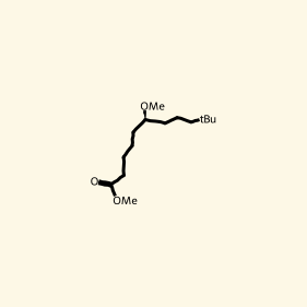 COC(=O)CCCC[C@H](CCCC(C)(C)C)OC